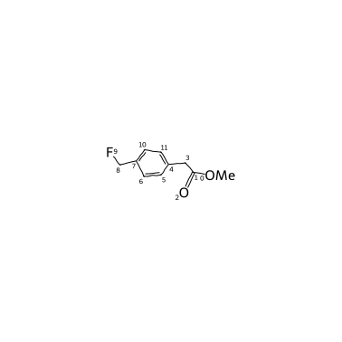 COC(=O)Cc1ccc(CF)cc1